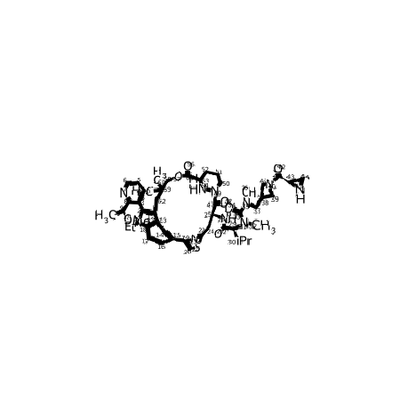 CCn1c(-c2cccnc2[C@H](C)OC)c2c3cc(ccc31)-c1csc(n1)C[C@H](NC(=O)[C@H](C(C)C)N(C)C(=O)N(C)CC1CN(C(=O)[C@H]3CN3)C1)C(=O)N1CCC[C@H](N1)C(=O)OCC(C)(C)C2